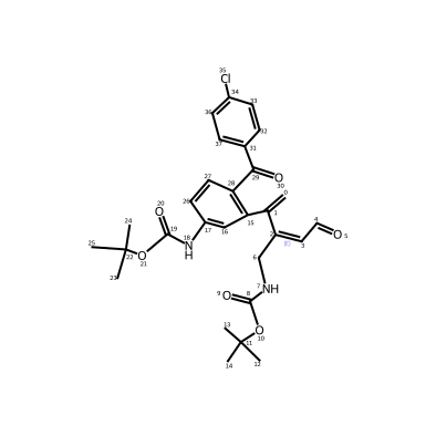 C=C(/C(=C\C=O)CNC(=O)OC(C)(C)C)c1cc(NC(=O)OC(C)(C)C)ccc1C(=O)c1ccc(Cl)cc1